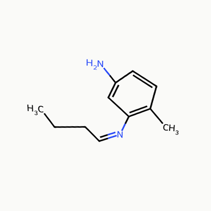 CCC/C=N\c1cc(N)ccc1C